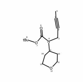 CC#CCN(C(=O)OC(C)(C)C)C1CCOCC1